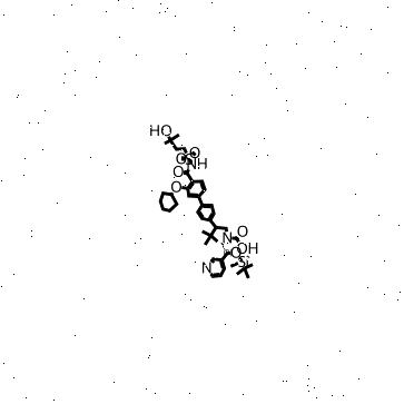 CC(C)(O)CCS(=O)(=O)NC(=O)c1ccc(-c2ccc(C(CN(C[C@H](O[Si](C)(C)C(C)(C)C)c3cccnc3)C(=O)O)C(C)(C)C)cc2)cc1OC1CCCCC1